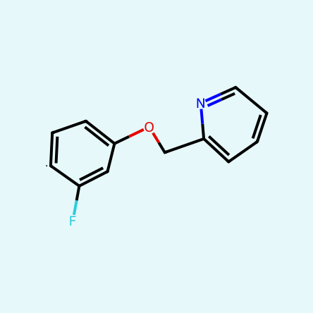 Fc1[c]ccc(OCc2ccccn2)c1